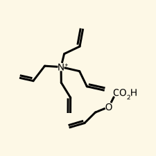 C=CCOC(=O)O.C=CC[N+](CC=C)(CC=C)CC=C